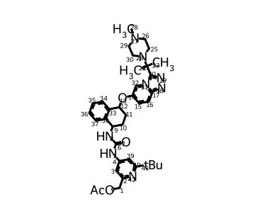 CC(=O)OCc1cc(NC(=O)NC2CCC(Oc3ccc4nnc(C(C)(C)N5CCN(C)CC5)n4c3)c3ccccc32)cc(C(C)(C)C)n1